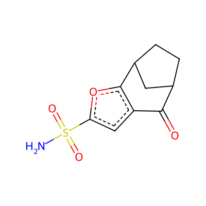 NS(=O)(=O)c1cc2c(o1)C1CCC(C1)C2=O